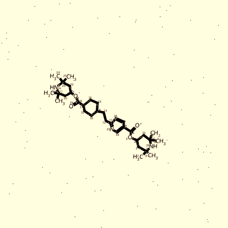 CC1(C)CC(OC(=O)c2ccc(CCC3CCC(C(=O)OC4CC(C)(C)NC(C)(C)C4)CC3)nc2)CC(C)(C)N1